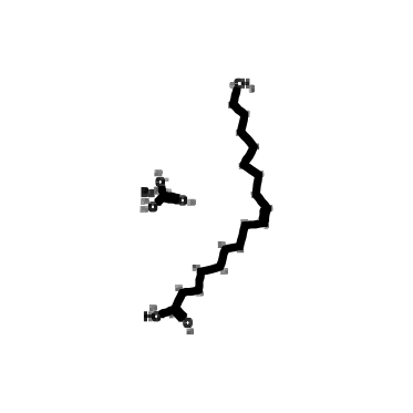 CCCCCCCC/C=C\CCCCCCCC(=O)O.O=C([O-])[O-].[Ba+2]